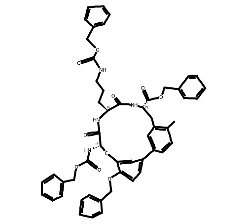 Cc1ccc2cc1C[C@@H](C(=O)OCc1ccccc1)NC(=O)[C@H](CCCNC(=O)OCc1ccccc1)NC(=O)[C@@H](NC(=O)OCc1ccccc1)Cc1cc-2ccc1OCc1ccccc1